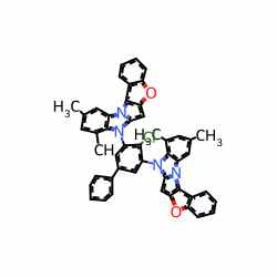 Cc1cc(C)c2c(c1)n1c3c(cc1n2-c1cc(-c2ccccc2)cc(-n2c4c(C)cc(C)cc4n4c5c(cc24)oc2ccccc25)c1Cl)oc1ccccc13